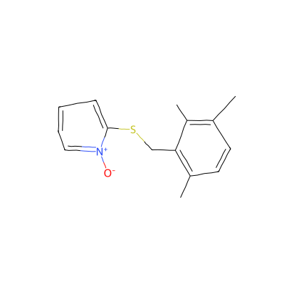 Cc1ccc(C)c(CSc2cccc[n+]2[O-])c1C